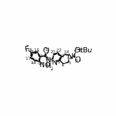 CC(C)(C)OC(=O)N1CCc2nc(NC(=O)c3cc(F)ccc3[N+](=O)[O-])ccc2C1